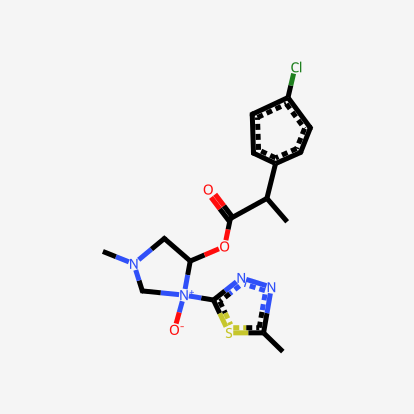 Cc1nnc([N+]2([O-])CN(C)CC2OC(=O)C(C)c2ccc(Cl)cc2)s1